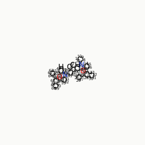 CC1(C)c2cc(N(c3ccccc3)c3cccc4c3oc3c(-c5ccccc5)cc5ccccc5c34)ccc2-c2ccc(N(c3ccccc3)c3cccc4c3oc3c(-c5ccccc5)cc5ccccc5c34)cc21